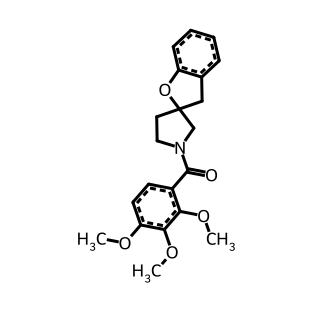 COc1ccc(C(=O)N2CCC3(Cc4ccccc4O3)C2)c(OC)c1OC